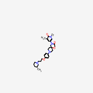 CCn1cc(N2CC3(CCN(c4ccc(OCCCN5CCC[C@H](C)C5)cc4)CC3)OCC2=O)cc(C)c1=O